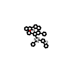 c1ccc(-c2ccc3c(-n4c5cc6ccccc6cc5c5ccc6ccccc6c54)c(-c4ccccc4)cc(-c4nc(-c5ccccc5)nc(-c5ccc6oc7ccccc7c6c5)n4)c3c2)cc1